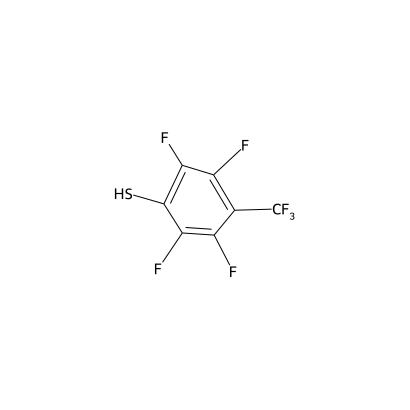 Fc1c(F)c(C(F)(F)F)c(F)c(F)c1S